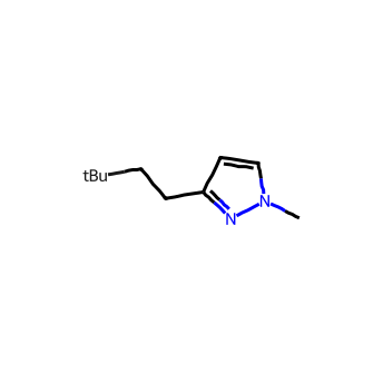 Cn1ccc(CCC(C)(C)C)n1